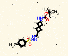 Cc1ccc(S(=O)(=O)N/N=C/C2CC3(C2)CC(NC(=O)OC(C)(C)C)C3)cc1